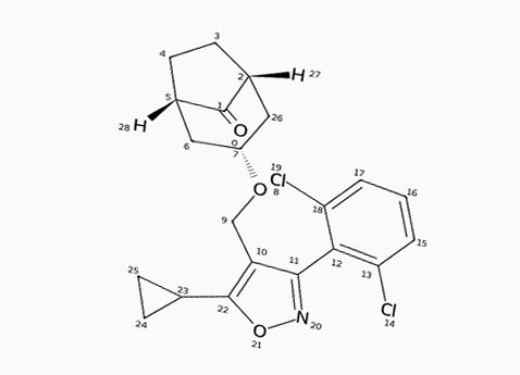 O=C1[C@@H]2CC[C@H]1C[C@@H](OCc1c(-c3c(Cl)cccc3Cl)noc1C1CC1)C2